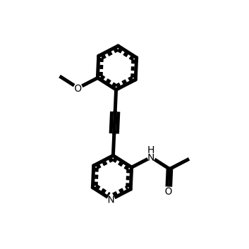 COc1ccccc1C#Cc1ccncc1NC(C)=O